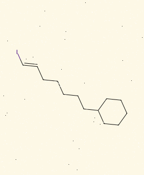 IC=CCCCCCC1CCCCC1